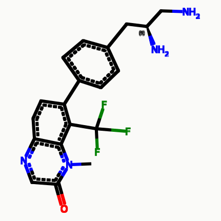 Cn1c(=O)cnc2ccc(-c3ccc(C[C@H](N)CN)cc3)c(C(F)(F)F)c21